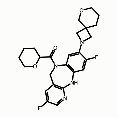 O=C(C1CCCCO1)N1Cc2cc(F)cnc2Nc2cc(F)c(N3CC4(CCCOC4)C3)cc21